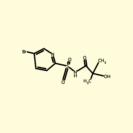 CC(C)(O)C(=O)NS(=O)(=O)c1ccc(Br)cn1